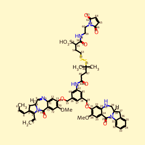 C=CC1=C(/C=C\C)C[C@H]2C=Nc3cc(OCc4cc(COc5cc6c(cc5OC)C(=O)N5c7ccccc7C[C@H]5CN6)cc(NC(=O)CCC(C)(C)SSCCC(C(=O)NCCN5C(=O)C=CC5=O)S(=O)(=O)O)c4)c(OC)cc3C(=O)N12